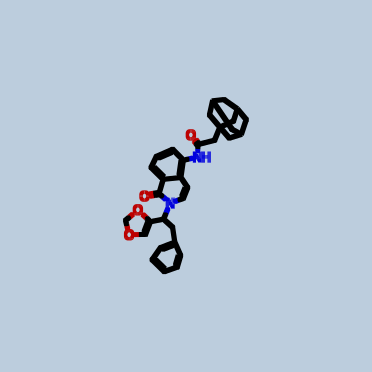 O=C(CC12CC3CC(CC(C3)C1)C2)Nc1cccc2c(=O)n(C(Cc3ccccc3)C3=COCO3)ccc12